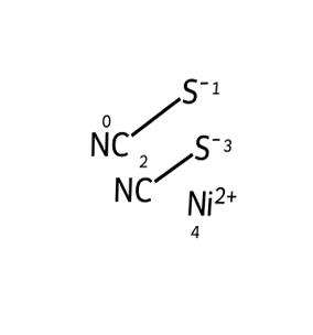 N#C[S-].N#C[S-].[Ni+2]